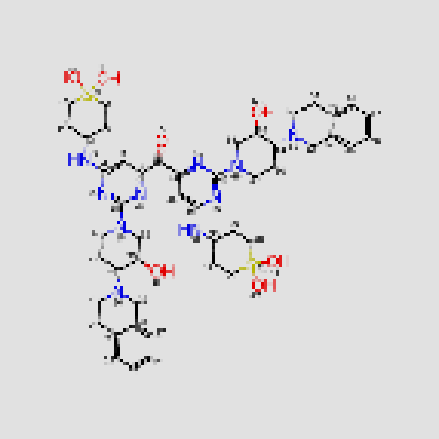 O=C(c1cc(NC2CCS(O)(O)CC2)nc(N2CC[C@@H](N3CCc4ccccc4C3)[C@H](O)C2)n1)c1cc(NC2CCS(O)(O)CC2)nc(N2CC[C@@H](N3CCc4ccccc4C3)[C@H](O)C2)n1